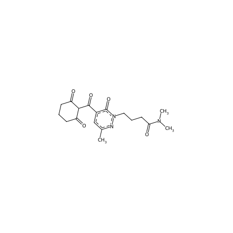 Cc1cc(C(=O)C2C(=O)CCCC2=O)c(=O)n(CCCC(=O)N(C)C)n1